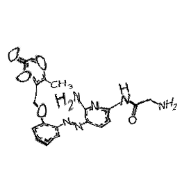 Cc1oc(=O)oc1COc1ccccc1N=Nc1ccc(NC(=O)CN)nc1N